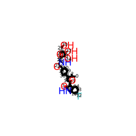 CC1(C)O/C(=C2/C(=O)Nc3cc(F)ccc32)C=C1c1ccc(C(=O)NC[C@H]2O[C@H](CO)[C@@H](O)[C@@H]2O)cc1